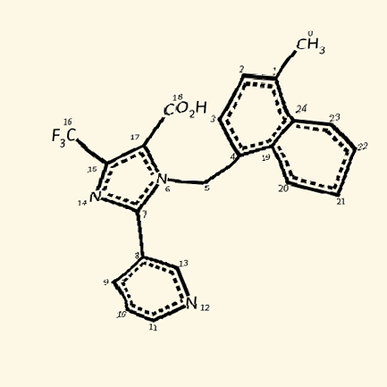 Cc1ccc(Cn2c(-c3cccnc3)nc(C(F)(F)F)c2C(=O)O)c2ccccc12